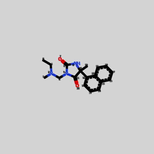 CCN(C)CN1C(=O)NC(C)(c2cccc3ccccc23)C1=O